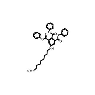 CCCCCCCCCCCCCCCCCCNc1cc(C(=O)Oc2ccccc2)c(C(=O)Oc2ccccc2)c(C(=O)Oc2ccccc2)c1